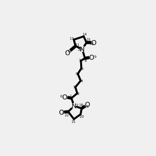 O=C(CCCCCCC(=O)N1C(=O)CCC1=O)N1C(=O)CCC1=O